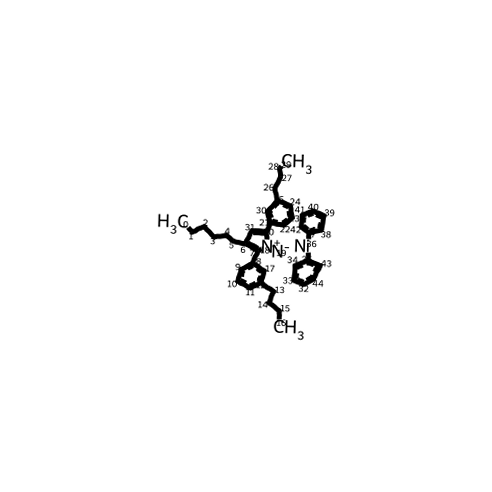 CCCCCCC1=C(c2cccc(CCCC)c2)[N+](=[N-])C(c2cccc(CCCC)c2)=C1.c1cc[c]([Ni][c]2ccccc2)cc1